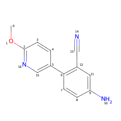 COc1ccc(-c2ccc(N)cc2C#N)cn1